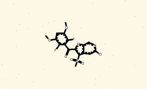 COc1cc(OC)c(F)c(C(=O)c2oc3cnc(Cl)cc3c2S(C)(=O)=O)c1F